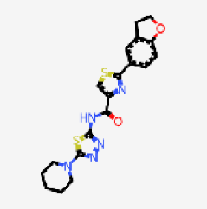 O=C(Nc1nnc(N2CCCCC2)s1)c1csc(-c2ccc3c(c2)CCO3)n1